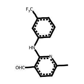 Cc1ccc(C=O)c(Nc2cccc(C(F)(F)F)c2)n1